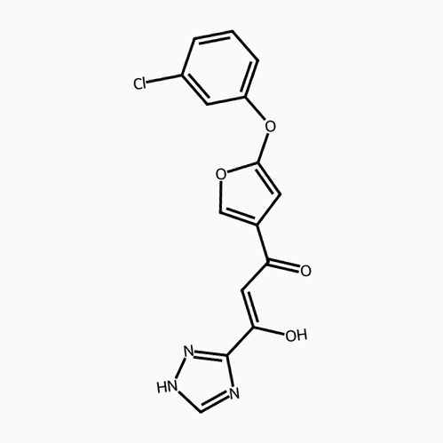 O=C(C=C(O)c1nc[nH]n1)c1coc(Oc2cccc(Cl)c2)c1